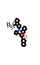 CC1(C)c2ccccc2-c2ccc(N(c3ccccc3-c3ccc4oc5cc6ccccc6cc5c4c3)c3cccc4ccccc34)cc21